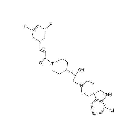 O=C(/C=C/C1C=C(F)C=C(F)C1)N1CCC(C(O)CN2CCC3(CC2)CNc2c(Cl)cccc23)CC1